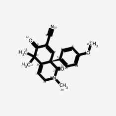 COc1ccc([C@]23C=C(C#N)C(=O)C(C)(C)C2=CCN(C)C3=O)cc1